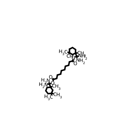 CC1(C)CCCC(C)(C(N)(N)OC(=O)CCCCCCCCC(=O)OC(N)(N)C2(C)CCCC(C)(C)C2)C1